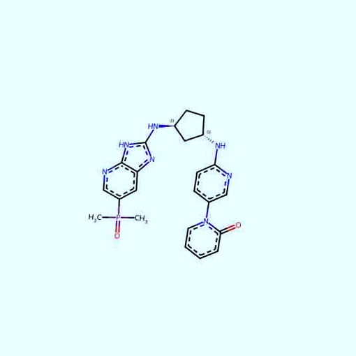 CP(C)(=O)c1cnc2[nH]c(N[C@H]3CC[C@H](Nc4ccc(-n5ccccc5=O)cn4)C3)nc2c1